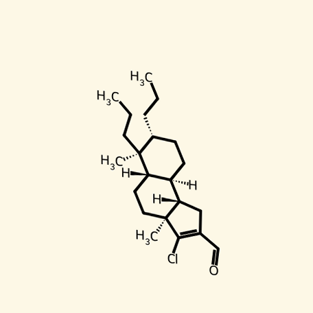 CCC[C@@H]1CC[C@@H]2[C@H](CC[C@]3(C)C(Cl)=C(C=O)C[C@@H]23)[C@@]1(C)CCC